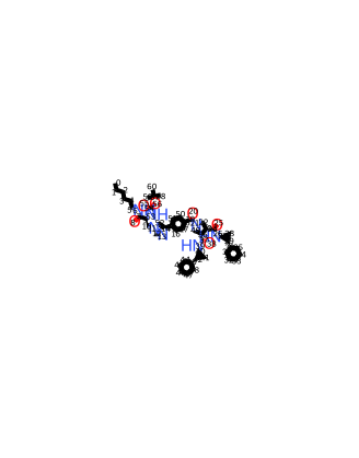 CCCCCCNC(=O)[C@H](Cn1cnc(-c2ccc(C(=O)N3C[C@@H](C(=O)N[C@H]4C[C@@H]4c4ccccc4)[C@H](C(=O)N[C@H]4C[C@@H]4c4ccccc4)C3)cc2)c1)NC(=O)OC(C)(C)C